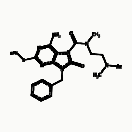 CCCSc1nc(N)c2c(n1)n(Cc1ccccc1)c(=O)n2C(=O)N(C)CCN(C)C(C)=O